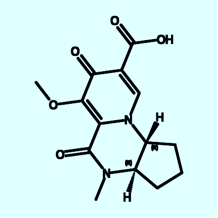 COc1c2n(cc(C(=O)O)c1=O)[C@@H]1CCC[C@H]1N(C)C2=O